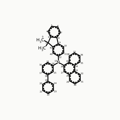 CC1(C)c2ccccc2-c2ccc(N(c3cccc(-c4ccccc4)c3)c3cc4ccccc4c4ccccc34)cc21